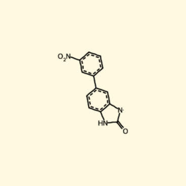 O=C1[N]c2cc(-c3cccc([N+](=O)[O-])c3)ccc2N1